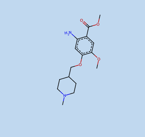 COC(=O)c1cc(OC)c(OCC2CCN(C)CC2)cc1N